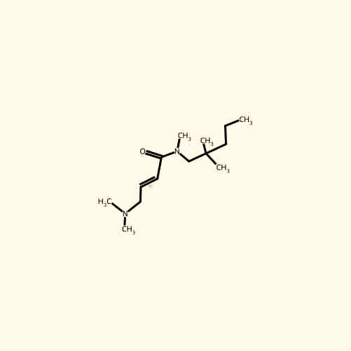 CCCC(C)(C)CN(C)C(=O)/C=C/CN(C)C